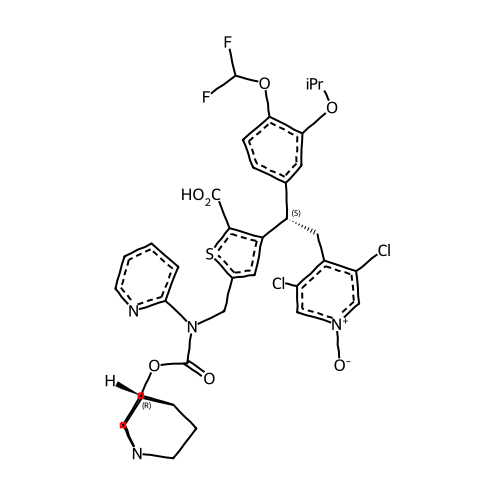 CC(C)Oc1cc([C@H](Cc2c(Cl)c[n+]([O-])cc2Cl)c2cc(CN(C(=O)O[C@H]3CN4CCC3CC4)c3ccccn3)sc2C(=O)O)ccc1OC(F)F